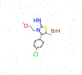 Br.COCCn1c(-c2ccc(Cl)cc2)c(C)sc1=N